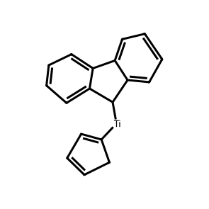 C1=CC[C]([Ti][CH]2c3ccccc3-c3ccccc32)=C1